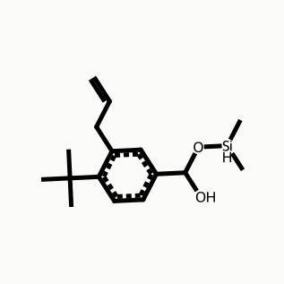 C=CCc1cc(C(O)O[SiH](C)C)ccc1C(C)(C)C